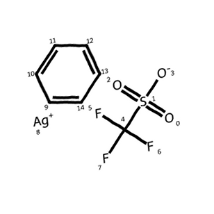 O=S(=O)([O-])C(F)(F)F.[Ag+].c1ccccc1